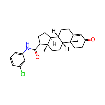 C[C@]12CCC(=O)C=C1CC[C@@H]1[C@H]2CC[C@]2(C)C(C(=O)Nc3cccc(Cl)c3)CC[C@@H]12